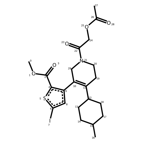 COC(=O)c1sc(I)cc1C1=C(C2CCC(C)CC2)CCN(C(=O)COC(C)=O)C1